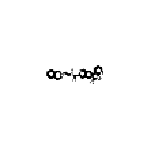 O=C(NCCN1CCc2ccccc2C1)c1cc2c(cn1)CC1(C2)C(=O)Nc2ncccc21